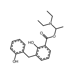 CCN(CC)C(C)OC(=O)c1cccc(Cc2ccccc2O)c1O